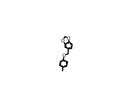 Cc1ccc(OCc2ccc3c(c2)OCO3)cc1